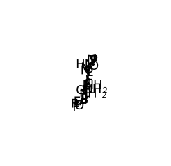 N/C(=C\N(N)CC(F)CCc1nnc(NC(=O)c2ccccn2)s1)C(=O)NCc1cc(OC(F)(F)F)ccc1F